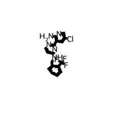 Nc1ncc(Cl)cc1-c1nccc(NCc2ccccc2C(F)(F)F)n1